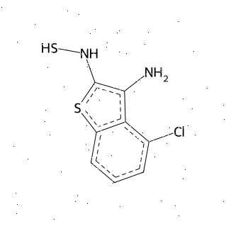 Nc1c(NS)sc2cccc(Cl)c12